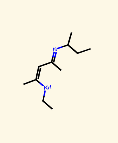 CCN/C(C)=C\C(C)=N\C(C)CC